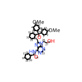 COc1ccc(C(OCc2nc3c(NC(=O)c4ccccc4)ncnc3n2CCO)(c2ccccc2)c2ccc(OC)cc2)cc1